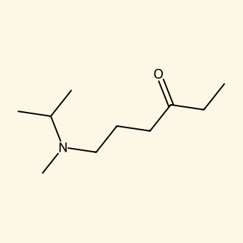 CCC(=O)CCCN(C)C(C)C